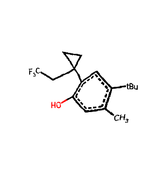 Cc1cc(O)c(C2(CC(F)(F)F)CC2)cc1C(C)(C)C